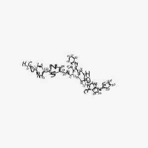 COc1ccc(-c2ncc(CN3CC[C@@H](C(=O)N4CCC(O)(Cn5cnc6c(ccn6-c6cccs6)c5=O)CC4)[C@H](c4ccccc4)C3)s2)cn1